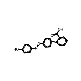 O=C(O)c1ccccc1-c1ccc(/N=N/c2ccc(O)cc2)cc1